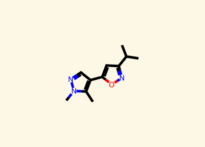 Cc1c(-c2cc(C(C)C)no2)cnn1C